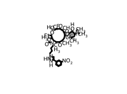 CCC1OC(=O)[C@@](C)(F)C(=O)[C@H](C)[C@@H](OC2O[C@H](C)C[C@H](N(C)C)[C@H]2O)[C@@](C)(OC)C[C@@H](C)C(=O)[C@H](C)C2N(CCCCN3C=C(c4cccc([N+](=O)[O-])c4)NN3)C(=O)O[C@]12C